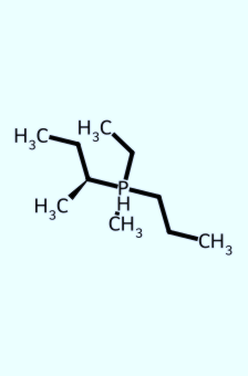 CCC[PH](C)(CC)[C@@H](C)CC